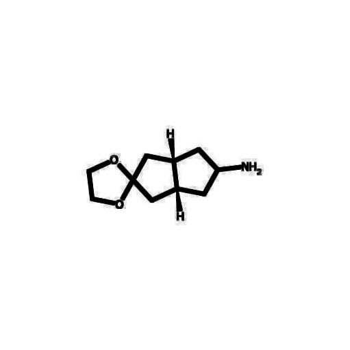 NC1C[C@@H]2CC3(C[C@@H]2C1)OCCO3